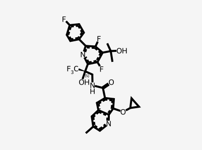 Cc1cnc2c(OC3CC3)cc(C(=O)NC[C@](O)(c3nc(-c4ccc(F)cc4)c(F)c(C(C)(C)O)c3F)C(F)(F)F)cc2c1